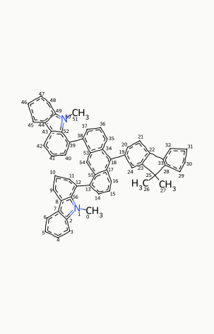 Cn1c2ccccc2c2cccc(-c3cccc4c(-c5ccc6c(c5)C(C)(C)c5ccccc5-6)c5cccc(-c6cccc7c8ccccc8n(C)c67)c5cc34)c21